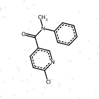 CN(C(=O)c1ccc(Cl)nc1)c1ccccc1